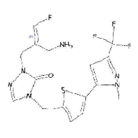 Cn1nc(C(F)(F)F)cc1-c1ccc(Cn2cnn(C/C(=C/F)CN)c2=O)s1